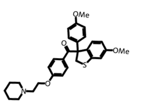 COc1ccc(C2(C(=O)c3ccc(OCCN4CCCCC4)cc3)CSc3cc(OC)ccc32)cc1